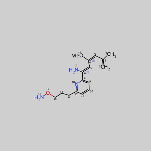 C=C(C)/C=C(\C=C(/N)c1cccc(CCCON)n1)OC